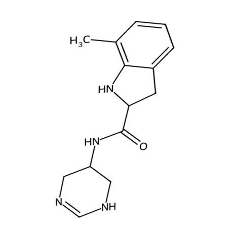 Cc1cccc2c1NC(C(=O)NC1CN=CNC1)C2